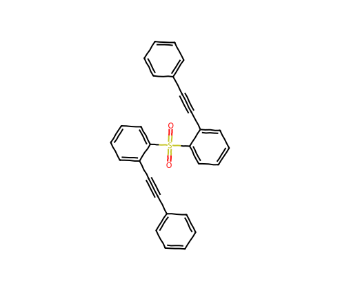 O=S(=O)(c1ccccc1C#Cc1ccccc1)c1ccccc1C#Cc1ccccc1